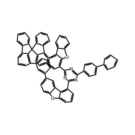 c1ccc(-c2ccc(-c3nc(-c4cccc5c4oc4ccccc45)nc(-c4cccc5oc6ccc(-c7cccc(-c8cccc9c8C8(c%10ccccc%10-c%10ccccc%108)c8ccccc8-9)c7)cc6c45)n3)cc2)cc1